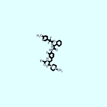 CCC(=O)NC(Cc1ccc(NC(=O)C(NC(=O)C(F)(F)c2ccc(C)nc2)C2CCCCC2)c(F)c1)C(=O)N1CCN(C)CC1